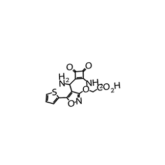 Nc1c(C(N)c2c(OCC(=O)O)noc2-c2cccs2)c(=O)c1=O